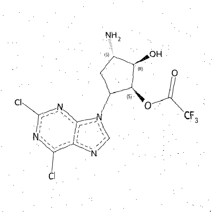 N[C@H]1CC(n2cnc3c(Cl)nc(Cl)nc32)[C@H](OC(=O)C(F)(F)F)[C@@H]1O